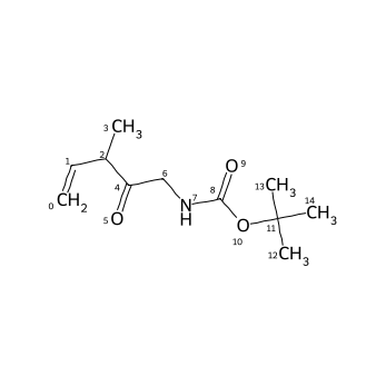 C=CC(C)C(=O)CNC(=O)OC(C)(C)C